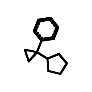 c1ccc(C2(C3CCCC3)CC2)cc1